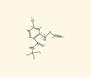 CC(C)(C)NC(=O)c1cnc(Cl)nc1NCC#N